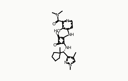 Cc1cn(C)nc1[C@@H](Nc1c(Nc2ccnc(C(=O)N(C)C)c2O)c(=O)c1=O)C1(C)CCCC1